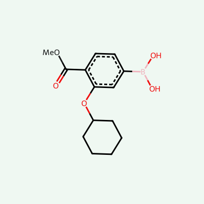 COC(=O)c1ccc(B(O)O)cc1OC1CCCCC1